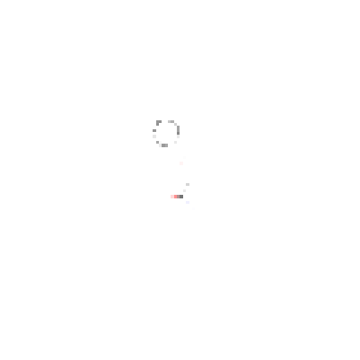 CCNC(=O)COCc1ccccc1